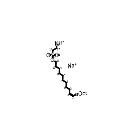 CCCCCCCC/C=C\CCCCCCCCCOS(=O)(=O)CC[NH-].[Na+]